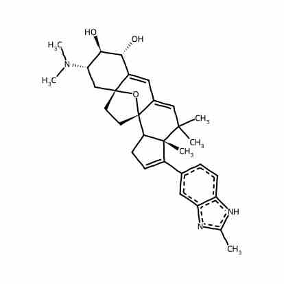 Cc1nc2cc(C3=CCC4[C@@]56CC[C@]7(C[C@H](N(C)C)[C@@H](O)[C@H](O)C7=CC5=CC(C)(C)[C@]34C)O6)ccc2[nH]1